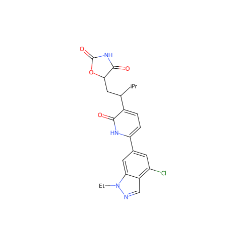 CCn1ncc2c(Cl)cc(-c3ccc(C(CC4OC(=O)NC4=O)C(C)C)c(=O)[nH]3)cc21